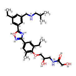 CCc1cc(CNCC(C)C)cc(-c2nc(-c3cc(C)c(OCC(O)CNC(=O)CO)c(CC)c3)no2)c1